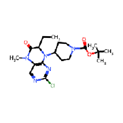 CCC1C(=O)N(C)c2cnc(Cl)nc2N1C1CCN(C(=O)OC(C)(C)C)CC1